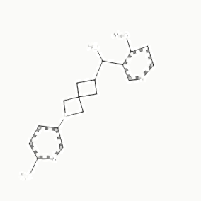 COc1ccncc1C(O)C1CC2(C1)CN(c1ccc(C(F)(F)F)nc1)C2